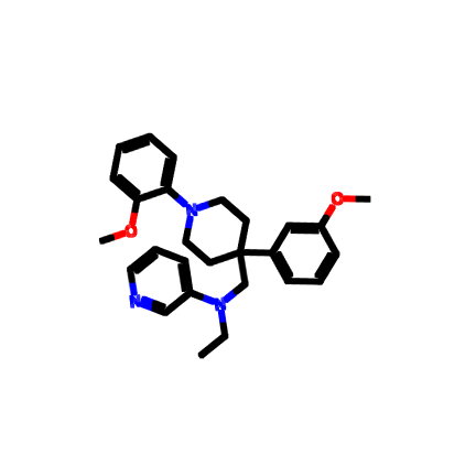 CCN(CC1(c2cccc(OC)c2)CCN(c2ccccc2OC)CC1)c1cccnc1